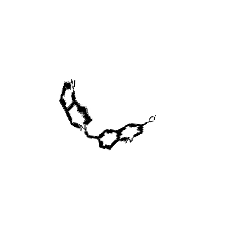 Clc1cnc2ccc(Cn3ccc4nccc-4c3)cc2c1